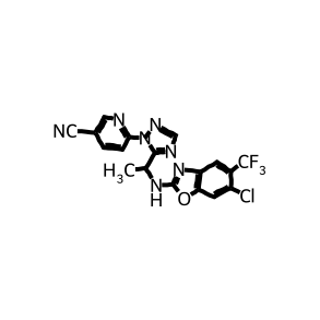 CC(Nc1nc2cc(C(F)(F)F)c(Cl)cc2o1)c1ncnn1-c1ccc(C#N)cn1